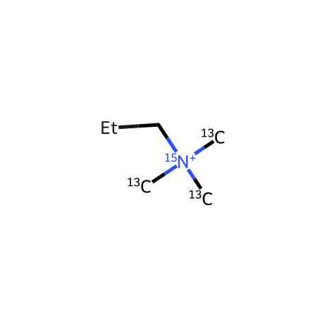 CCC[15N+]([13CH3])([13CH3])[13CH3]